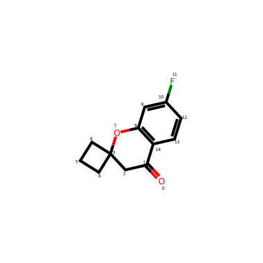 O=C1CC2(CCC2)Oc2cc(F)ccc21